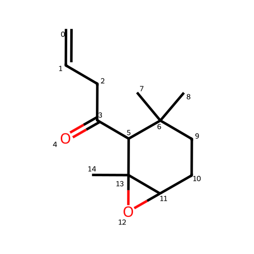 C=CCC(=O)C1C(C)(C)CCC2OC21C